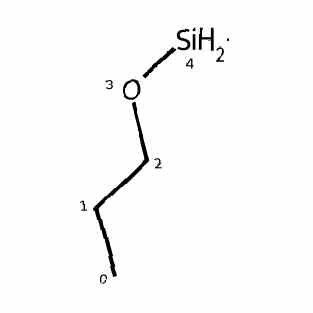 CCCO[SiH2]